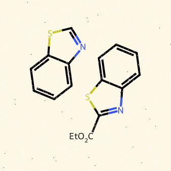 CCOC(=O)c1nc2ccccc2s1.c1ccc2scnc2c1